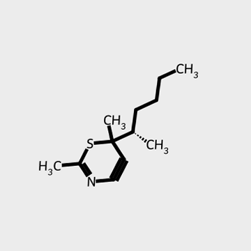 CCCC[C@H](C)C1(C)C#CN=C(C)S1